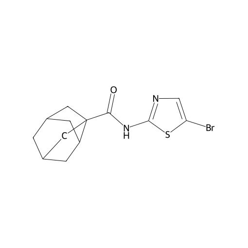 O=C(Nc1ncc(Br)s1)C12CC3CC(CC1C3)C2